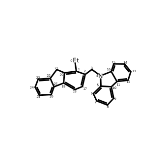 CCc1c(Cn2c3ccccc3c3ccccc32)ccc2c1Cc1ccccc1-2